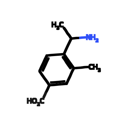 Cc1cc(C(=O)O)ccc1C(C)N